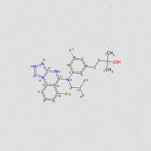 CC(C)(O)CCc1cc(F)cc(N(CC(F)F)c2nc3nncn3c3cccc(F)c23)c1